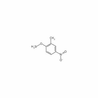 Cc1cc([N+](=O)[O-])ccc1O[SiH3]